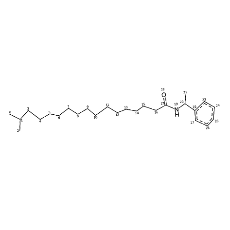 CC(C)CCCCCCCCCCCCCCC(=O)NC(C)c1ccccc1